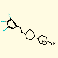 CCC[SiH]1CCC([C@H]2CC[C@H](CCc3cc(F)c(F)c(F)c3)CC2)CC1